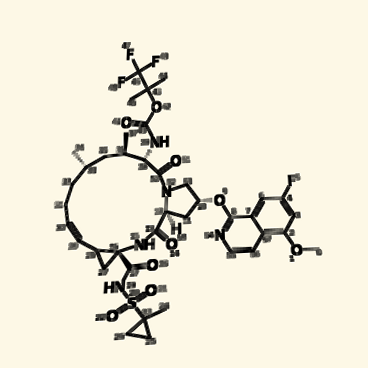 COc1cc(F)cc2c(O[C@@H]3C[C@H]4C(=O)N[C@]5(C(=O)NS(=O)(=O)C6(C)CC6)CC5/C=C\CC[C@H](C)C[C@@H](C)[C@H](NC(=O)OC(C)(C)C(F)(F)F)C(=O)N4C3)nccc12